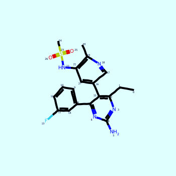 CCc1nc(N)nc(-c2cccc(F)c2)c1-c1cnc(C)c(NS(C)(=O)=O)c1